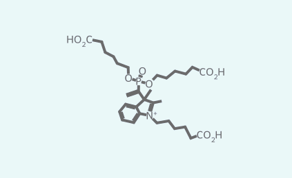 C=C(C1(C)C(C)=[N+](CCCCCC(=O)O)c2ccccc21)P(=O)(OCCCCCC(=O)O)OCCCCCC(=O)O